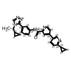 C[C@@H](C1CC1)n1cnnc1-c1cccc(NC(=O)c2cc(-c3ccc(C4CC4)nc3)ccn2)c1